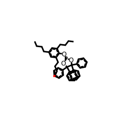 CCCCc1cc(CCCC)c(OP2OC(c3ccccc3)(c3ccccc3)C(c3ccccc3)(c3ccccc3)O2)c(CCCC)c1